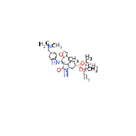 Cc1ccoc1/C(Nc1ccc(CN(C)C)cc1)=C1/C(=O)Nc2cc(B3OC(C)(C)C(C)(C)O3)ccc21